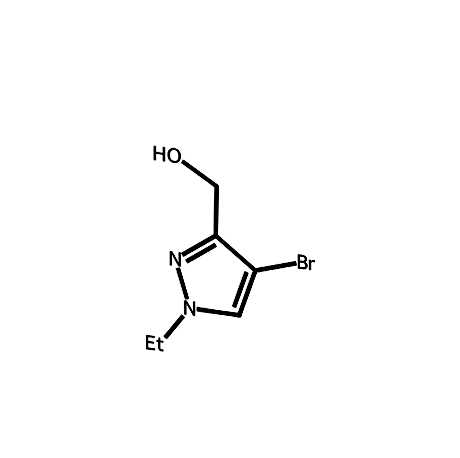 CCn1cc(Br)c(CO)n1